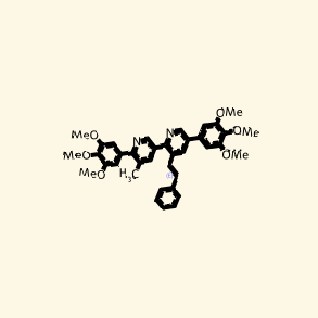 COc1cc(-c2cnc(-c3cnc(-c4cc(OC)c(OC)c(OC)c4)c(C)c3)c(/C=C/c3ccccc3)c2)cc(OC)c1OC